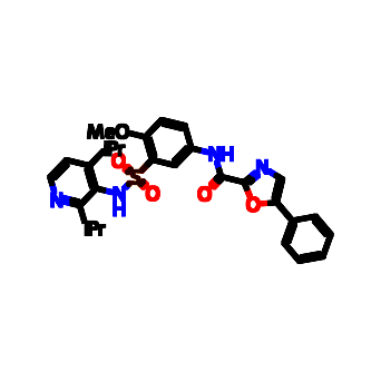 COc1ccc(NC(=O)c2ncc(-c3ccccc3)o2)cc1S(=O)(=O)Nc1c(C(C)C)ccnc1C(C)C